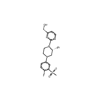 CC(C)[C@@H]1CN(c2ccc(F)c(S(C)(=O)=O)c2)CCN1c1nccc(CO)n1